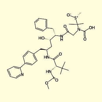 COC(=O)N[C@H](C(=O)N[C@@H](Cc1ccc(-c2ccccn2)cc1)C[C@H](O)[C@H](Cc1ccccc1)NC(=O)CN(C(=O)O)C(C)(C)[S@@+](C)[O-])C(C)(C)C